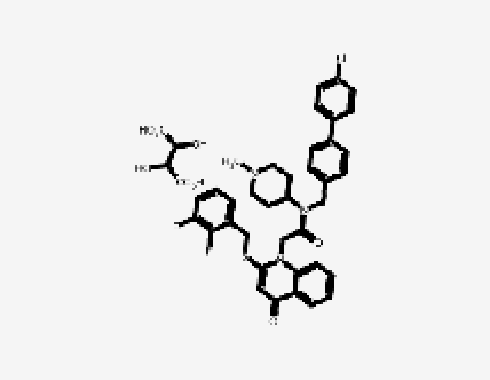 CN1CCC(N(Cc2ccc(-c3ccc(Cl)cc3)cc2)C(=O)Cn2c(SCc3cccc(F)c3F)cc(=O)c3ccccc32)CC1.O=C(O)C(O)C(O)C(=O)O